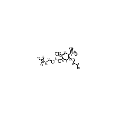 C=CCOc1cc(OCOCC[Si](C)(C)C)c(Cl)cc1[N+](=O)[O-]